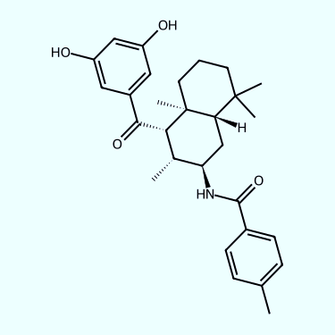 Cc1ccc(C(=O)N[C@@H]2C[C@H]3C(C)(C)CCC[C@]3(C)[C@@H](C(=O)c3cc(O)cc(O)c3)[C@H]2C)cc1